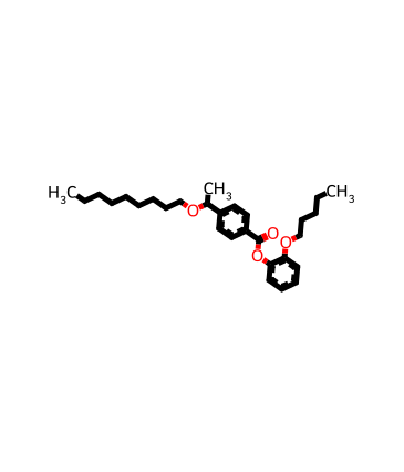 CCCCCCCCCOC(C)c1ccc(C(=O)Oc2ccccc2OCCCCC)cc1